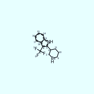 FC(F)(F)c1c(C2CBCCC2)[nH]c2ccccc12